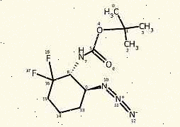 CC(C)(C)OC(=O)N[C@@H]1[C@@H](N=[N+]=[N-])CCCC1(F)F